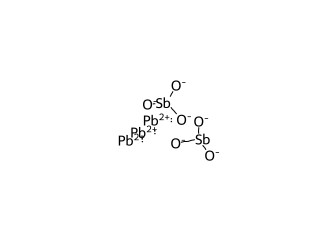 [O-][Sb]([O-])[O-].[O-][Sb]([O-])[O-].[Pb+2].[Pb+2].[Pb+2]